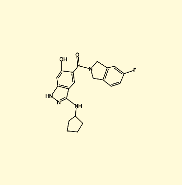 O=C(c1cc2c(NC3CCCC3)n[nH]c2cc1O)N1Cc2ccc(F)cc2C1